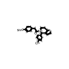 COc1ccc(CC(=O)N2CCc3sccc3C2c2ccc(Cl)cc2)cc1